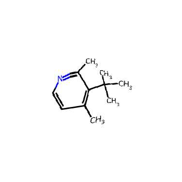 Cc1ccnc(C)c1C(C)(C)C